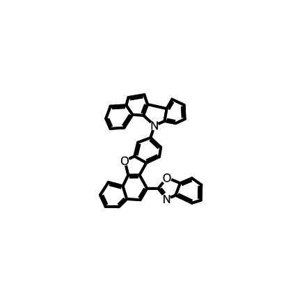 c1ccc2c(c1)cc(-c1nc3ccccc3o1)c1c3ccc(-n4c5ccccc5c5ccc6ccccc6c54)cc3oc21